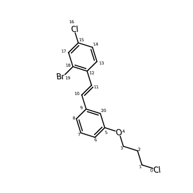 ClCCCOc1cccc(C=Cc2ccc(Cl)cc2Br)c1